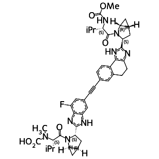 COC(=O)N[C@H](C(=O)N1[C@@H]2C[C@@H]2C[C@H]1c1nc2c([nH]1)-c1ccc(C#Cc3cc(F)c4nc([C@@H]5C[C@H]6C[C@H]6N5C(=O)[C@H](C(C)C)N(C)C(=O)O)[nH]c4c3)cc1CC2)C(C)C